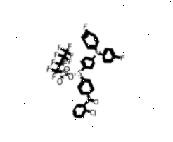 O=C(c1ccc(Sc2ccc([S+](c3ccc(F)cc3)c3ccc(F)cc3)cc2)cc1)c1ccccc1Cl.O=S(=O)([O-])C(F)(F)C(F)(F)C(F)(F)C(F)(F)F